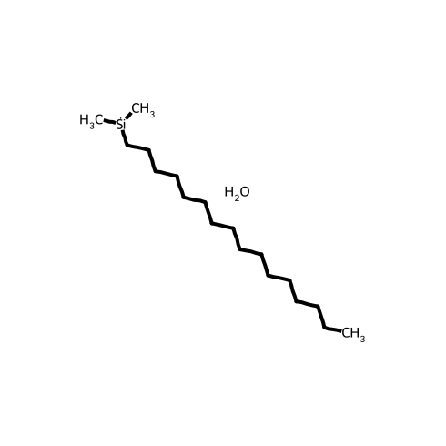 CCCCCCCCCCCCCCCC[Si](C)C.O